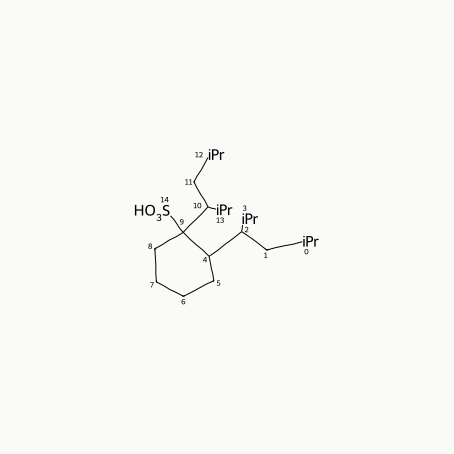 CC(C)CC(C(C)C)C1CCCCC1(C(CC(C)C)C(C)C)S(=O)(=O)O